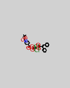 CC(C)(C)OC(=O)N1CCC(C(=O)OC(=O)C(Cl)(Cl)OC(=O)/C(=C/c2ccccc2)c2ccccc2)CC1